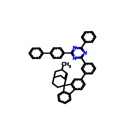 CC1C=C2CC(CCC23c2ccccc2-c2ccc(-c4cccc(-c5nc(-c6ccccc6)nc(-c6ccc(-c7ccccc7)cc6)n5)c4)cc23)C1